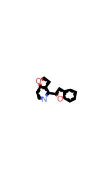 c1ccc2oc(-c3nccc4occc34)cc2c1